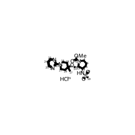 COC(=O)N1CCC[C@H](NS(C)(=O)=O)[C@@H]1COC1(C)CCN(c2ncccn2)CC1.Cl